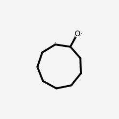 [O]C1[CH]CCCCCCC1